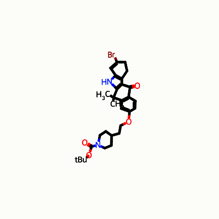 CC(C)(C)OC(=O)N1CCC(CCOc2ccc3c(c2)C(C)(C)c2[nH]c4c(c2C3=O)CCC(Br)=C4)CC1